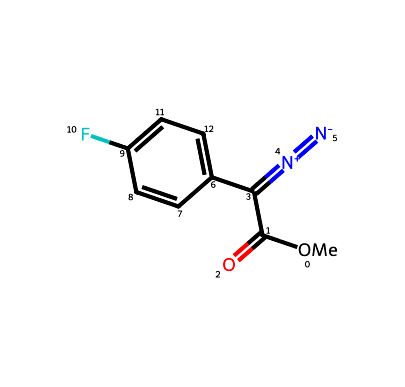 COC(=O)C(=[N+]=[N-])c1ccc(F)cc1